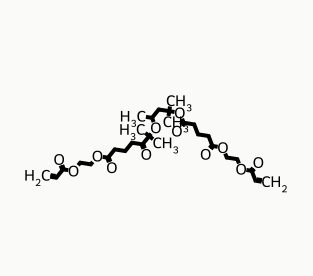 C=CC(=O)OCCOC(=O)CCCC(=O)OC(C)(C)CC(C)OC(C)(C)C(=O)CCCC(=O)OCCOC(=O)C=C